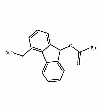 CC(=O)OCc1cccc2c1-c1ccccc1C2OC(=O)C(C)(C)C